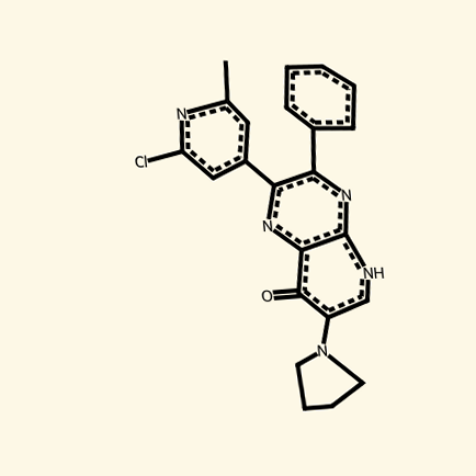 Cc1cc(-c2nc3c(=O)c(N4CCCC4)c[nH]c3nc2-c2ccccc2)cc(Cl)n1